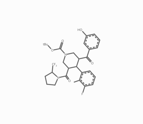 Cc1c(F)cccc1C1C(C(=O)c2cccc(O)c2)CN(C(=O)OC(C)(C)C)CC1C(=O)N1CCCC1C(F)(F)F